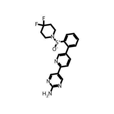 Nc1ncc(-c2ccc(-c3ccccc3[S+]([O-])N3CCC(F)(F)CC3)cn2)cn1